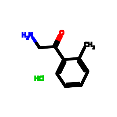 Cc1ccccc1C(=O)CN.Cl